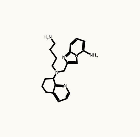 NCCCCN(Cc1cn2c(N)cccc2n1)C1CCCc2cccnc21